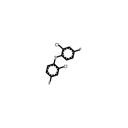 Fc1ccc(Sc2ccc(F)cc2Cl)c(Cl)c1